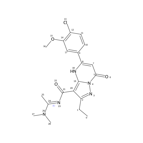 CCc1nn2c(=O)cc(-c3ccc(Cl)c(OC)c3)[nH]c2c1C(=O)/N=C(\C)N(C)C